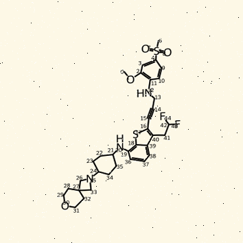 COc1cc(S(C)(=O)=O)ccc1NCC#Cc1sc2c(NC3CCC(N4CC5(CCOCC5)C4)CC3)cccc2c1CC(F)F